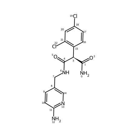 NC(=O)[C@@H](C(=O)NCc1ccc(N)nc1)c1ccc(Cl)cc1Cl